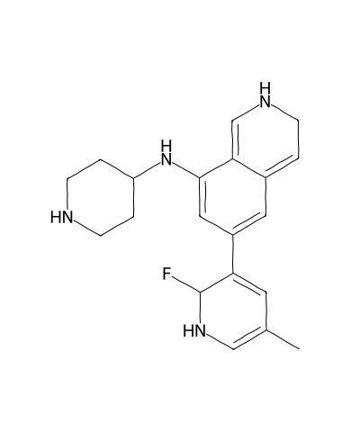 CC1=CNC(F)C(c2cc(NC3CCNCC3)c3c(c2)=CCNC=3)=C1